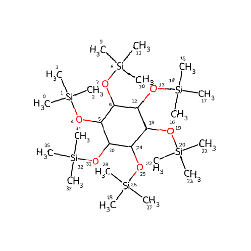 C[Si](C)(C)OC1C(O[Si](C)(C)C)C(O[Si](C)(C)C)C(O[Si](C)(C)C)C(O[Si](C)(C)C)C1O[Si](C)(C)C